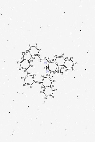 N/C(=N\C(=N/Cc1cccc2oc3ccc(-c4ccccc4)cc3c12)c1ccc2ccccc2c1)c1ccc2ccccc2c1